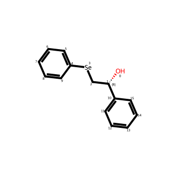 O[C@@H](C[Se]c1ccccc1)c1ccccc1